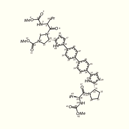 COC(=O)NC(C(=O)N1CN(C(=O)OC)C[C@H]1c1ncc(-c2ccc(-c3ccc(-c4cnc([C@@H]5CCCN5C(=O)[C@@H](NC(=O)OC)C(C)C)[nH]4)cc3)cc2)[nH]1)C(C)C